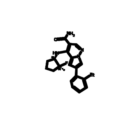 CCc1ccccc1-c1cc2c(N[C@@H]3CCC[C@]3(C)F)c(C(N)=O)cnn2c1